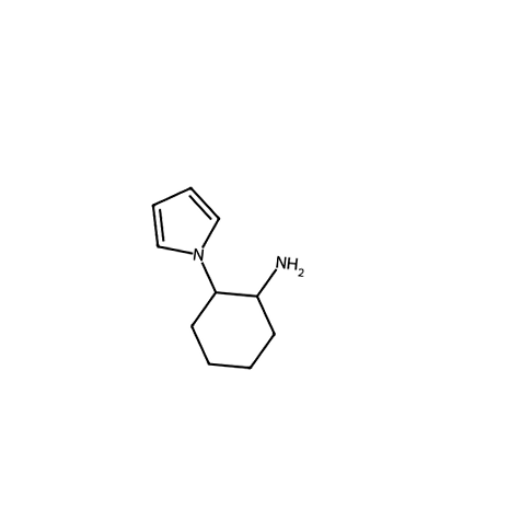 NC1CCCCC1n1cccc1